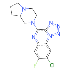 Fc1cc2nc(N3CCN4CCCC4C3)c3nnnn3c2cc1Cl